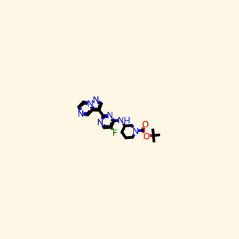 CC(C)(C)OC(=O)N1CCCC(Nc2nc(-c3cnn4ccncc34)ncc2F)C1